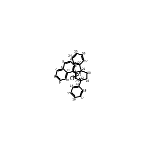 O=P1(c2cccc3ccccc23)C2(c3ccccc3)CCC1(c1ccccc1)CC2